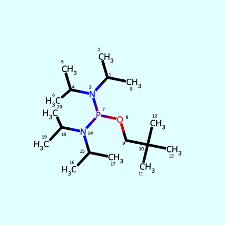 CC(C)N(C(C)C)P(OCC(C)(C)C)N(C(C)C)C(C)C